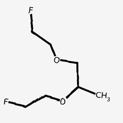 CC(COCCF)OCCF